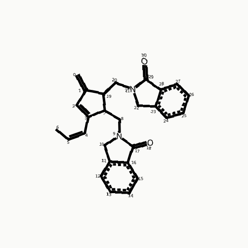 C=C1C=C(/C=C\C)C(CN2Cc3ccccc3C2=O)C1CN1Cc2ccccc2C1=O